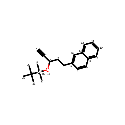 C#CC(CCc1ccc2ccccc2c1)O[Si](C)(C)C(C)(C)C